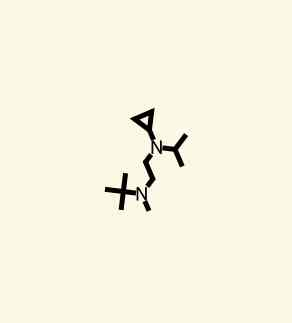 CC(C)N(CCN(C)C(C)(C)C)C1CC1